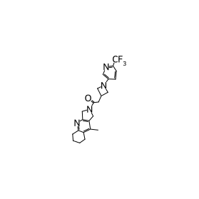 Cc1c2c(nc3c1CN(C(=O)CC1CN(c4ccc(C(F)(F)F)nc4)C1)C3)CCCC2